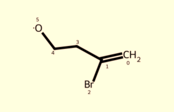 C=C(Br)CC[O]